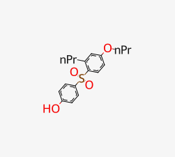 CCCOc1ccc(S(=O)(=O)c2ccc(O)cc2)c(CCC)c1